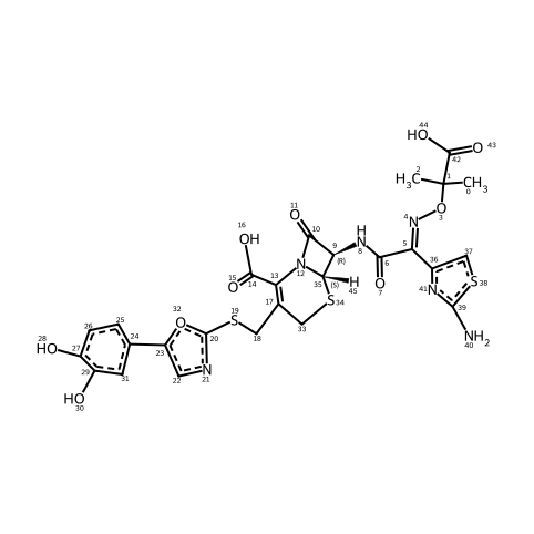 CC(C)(ON=C(C(=O)N[C@@H]1C(=O)N2C(C(=O)O)=C(CSc3ncc(-c4ccc(O)c(O)c4)o3)CS[C@@H]12)c1csc(N)n1)C(=O)O